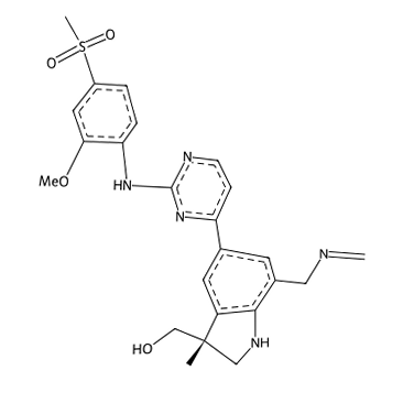 C=NCc1cc(-c2ccnc(Nc3ccc(S(C)(=O)=O)cc3OC)n2)cc2c1NC[C@]2(C)CO